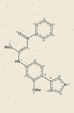 COc1cc(NC(=CC(=O)c2ccccc2)SC)ccc1-c1cnco1